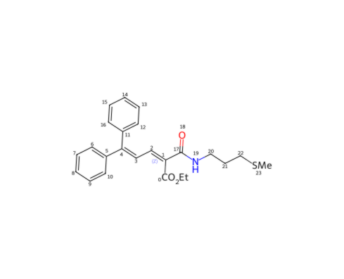 CCOC(=O)/C(=C\C=C(c1ccccc1)c1ccccc1)C(=O)NCCCSC